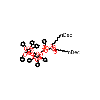 CCCCCCCCCCCCCCCCCC(=O)OC[C@H](COP(=O)(OCCOC1OC(COC2OC(COCc3ccccc3)C(OCc3ccccc3)C(OCc3ccccc3)C2OCc2ccccc2)C(OCc2ccccc2)C(OCc2ccccc2)C1OCc1ccccc1)OCc1ccccc1)OC(=O)CCCCCCCCCCCCCCCCC